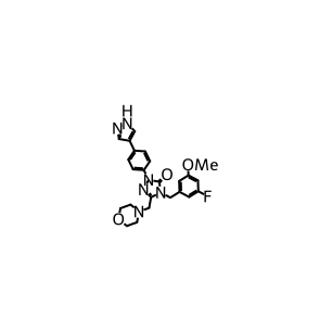 COc1cc(F)cc(Cn2c(CN3CCOCC3)nn(-c3ccc(-c4cn[nH]c4)cc3)c2=O)c1